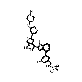 CS(=O)(=O)NCc1cc(F)cc(-c2cccc3[nH]c(-c4n[nH]c5cnc(-c6cncc(OC7CCNCC7)c6)cc45)cc23)c1